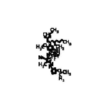 CCCCC(CC)CN(CC(CC)CCCC)c1cc(NS(=O)(=O)C(F)(F)F)c(N=Nc2sc(N=Nc3cccc(OC(C)C)c3)c(C)c2C#N)cc1OC